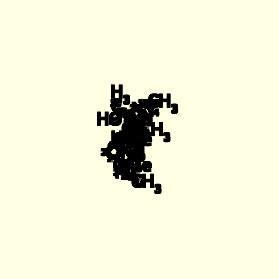 COc1cccc(OC)c1-n1c(NS(=O)(=O)[C@H](C)[C@H](OC[C@H](C)O)c2ncc(C)cn2)nnc1-c1cncc(C)c1